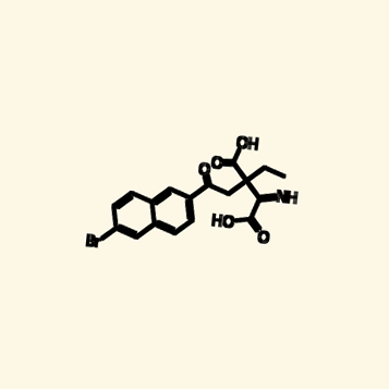 CCC(CC(=O)c1ccc2cc(Br)ccc2c1)(C(=N)C(=O)O)C(=O)O